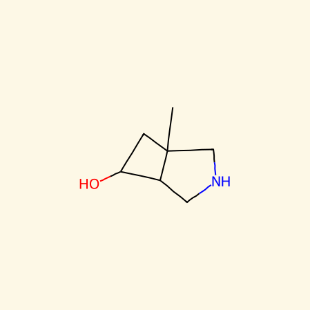 CC12CNCC1C(O)C2